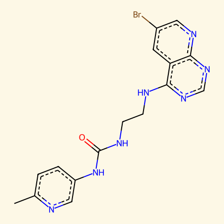 Cc1ccc(NC(=O)NCCNc2ncnc3ncc(Br)cc23)cn1